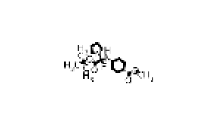 COC(=O)[C@H]1CC[C@H](NC(F)(C(=O)OC(C)(C)C)N2CCCC2)CC1